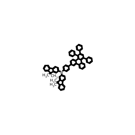 CC1(C)c2ccccc2-c2ccc(N(c3ccc(-c4ccc5c(c4)c4ccccc4c4c(-c6ccccc6)cc(-c6ccccc6)c(-c6ccccc6)c54)cc3)c3ccc4c(c3)C(C)(C)c3ccccc3-4)cc21